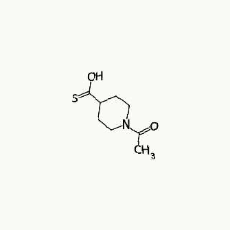 CC(=O)N1CCC(C(O)=S)CC1